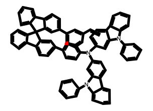 C=Cc1cccc(-c2ccc3c(c2)C2(c4ccccc4-c4ccc(-c5ccc(N(c6ccc7c8ccccc8n(-c8ccccc8)c7c6)c6ccc7c8ccccc8n(-c8ccccc8)c7c6)cc5)cc42)c2ccccc2-3)c1